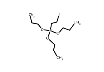 CCCO[Si](CCI)(OCCC)OCCC